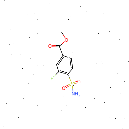 COC(=O)c1ccc(S(N)(=O)=O)c(F)c1